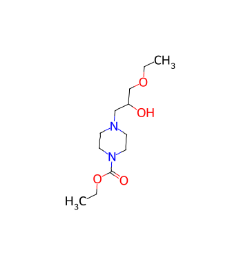 CCOCC(O)CN1CCN(C(=O)OCC)CC1